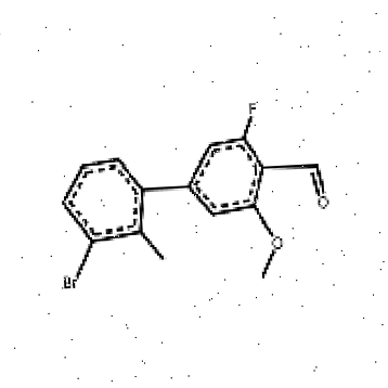 COc1cc(-c2cccc(Br)c2C)cc(F)c1C=O